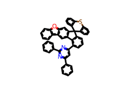 c1ccc(-c2cc(-c3cccc4c3-c3cc5c(cc3C43c4ccccc4Sc4ccccc43)oc3ccccc35)nc(-c3ccccc3)n2)cc1